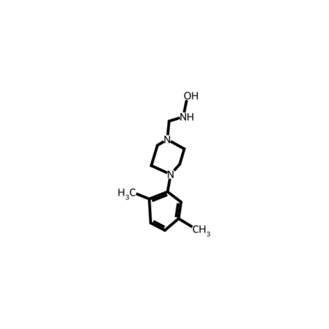 Cc1ccc(C)c(N2CCN(CNO)CC2)c1